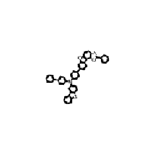 c1ccc(-c2ccc(N(c3ccc(-c4ccc5c(c4)oc4ccc6nc(-c7ccccc7)oc6c45)cc3)c3ccc4sc5ccccc5c4c3)cc2)cc1